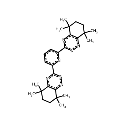 CC1(C)CCC(C)(C)c2nc(-c3cccc(-c4nnc5c(n4)C(C)(C)CCC5(C)C)n3)nnc21